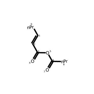 CCCC=CC(=O)OC(=O)CCC